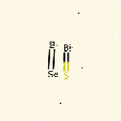 [S]=[Bi].[Se]=[Bi]